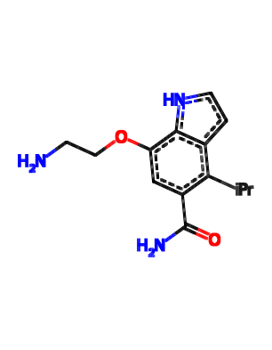 CC(C)c1c(C(N)=O)cc(OCCN)c2[nH]ccc12